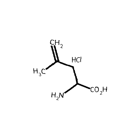 C=C(C)CC(N)C(=O)O.Cl